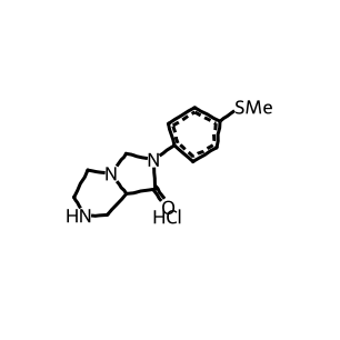 CSc1ccc(N2CN3CCNCC3C2=O)cc1.Cl